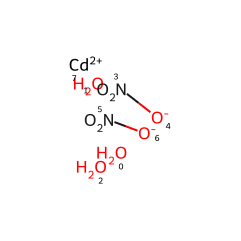 O.O.O.O=[N+]([O-])[O-].O=[N+]([O-])[O-].[Cd+2]